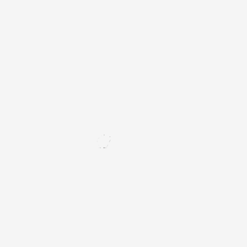 CCCCCCCCCc1cc(CC)c(O)c(CCCCCCCCC)c1